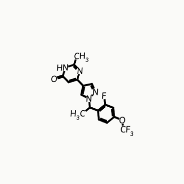 Cc1nc(-c2cnn(C(C)c3ccc(OC(F)(F)F)cc3F)c2)cc(=O)[nH]1